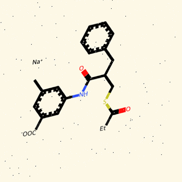 CCC(=O)SCC(Cc1ccccc1)C(=O)Nc1cc(C)cc(C(=O)[O-])c1.[Na+]